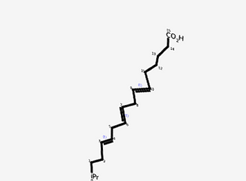 CC(C)CC/C=C/C/C=C/C/C=C/CCCCC(=O)O